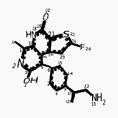 Cc1nc(O)c(-c2ccc(C(C)CN)cc2)c2c1[nH]c(=O)c1sc(F)cc12